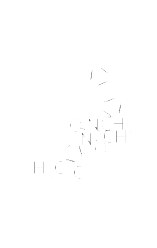 Cc1ccc(N2C(=O)N(Cc3ccccc3Cc3ccccc3)C(C)(C)C2=O)cc1Cl